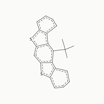 CC(C)(C)c1c2c(cc3sc4ccccc4c13)sc1ccccc12